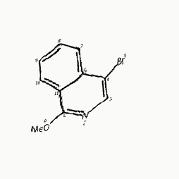 COc1ncc(Br)c2ccccc12